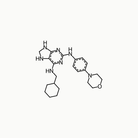 c1cc(N2CCOCC2)ccc1Nc1nc2c(c(NCC3CCCCC3)n1)NCN2